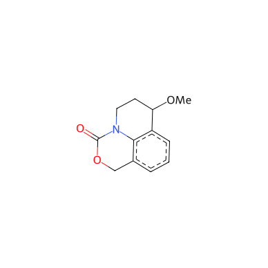 COC1CCN2C(=O)OCc3cccc1c32